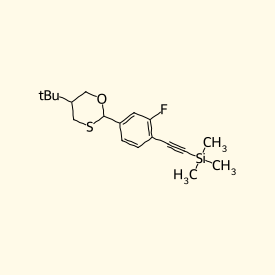 CC(C)(C)C1COC(c2ccc(C#C[Si](C)(C)C)c(F)c2)SC1